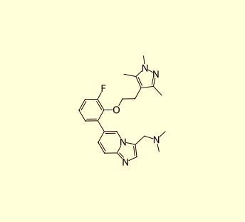 Cc1nn(C)c(C)c1CCOc1c(F)cccc1-c1ccc2ncc(CN(C)C)n2c1